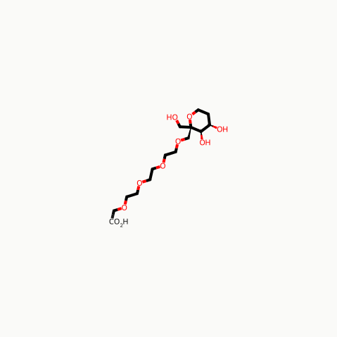 O=C(O)COCCOCCOCCOC[C@@]1(CO)OCC[C@@H](O)[C@H]1O